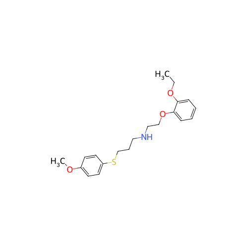 CCOc1ccccc1OCCNCCCSc1ccc(OC)cc1